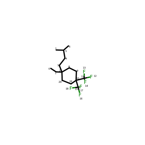 CCC1(CCC(C)C)CCC(C(F)(F)F)(C(F)(F)F)CC1